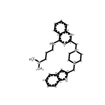 CN(C)CCCNc1nc(CN2CCN(Cc3cc4ccccc4o3)CC2)nc2ccccc12